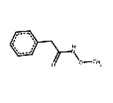 CONC(=O)Cc1ccccc1